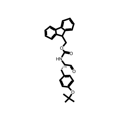 CC(C)(C)Oc1ccc(C[C@@H](C=O)NC(=O)OCC2c3ccccc3-c3ccccc32)cc1